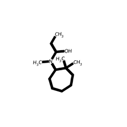 CCC(O)N(C)C1CCCCCC1(C)C